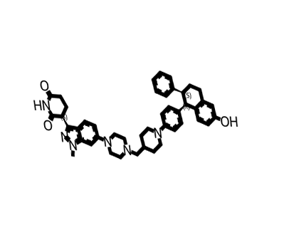 Cn1nc([C@@H]2CCC(=O)NC2=O)c2ccc(N3CCN(CC4CCN(c5ccc([C@@H]6c7ccc(O)cc7CC[C@@H]6c6ccccc6)cc5)CC4)CC3)cc21